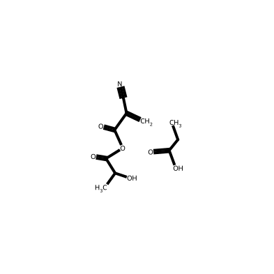 C=C(C#N)C(=O)OC(=O)C(C)O.CCC(=O)O